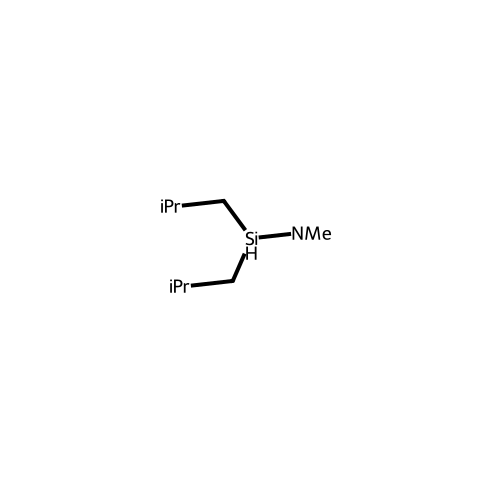 CN[SiH](CC(C)C)CC(C)C